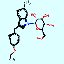 CCOc1ccc(Cc2cn([C@@H]3O[C@H](CO)[C@@H](O)[C@H](O)[C@H]3O)c3cc(C)ccc23)cc1